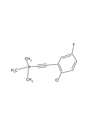 C[Si](C)(C)C#Cc1cc(F)ccc1Cl